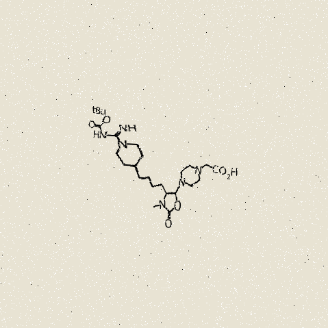 CN1C(=O)OC(N2CCN(CC(=O)O)CC2)C1CCCCC1CCN(C(=N)NC(=O)OC(C)(C)C)CC1